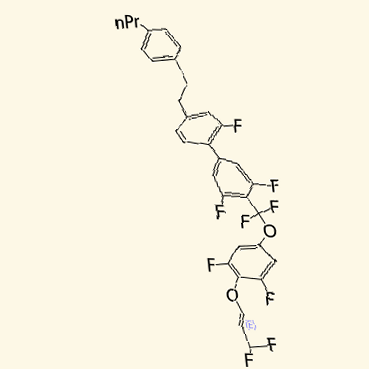 CCCc1ccc(CCc2ccc(-c3cc(F)c(C(F)(F)Oc4cc(F)c(O/C=C/C(F)F)c(F)c4)c(F)c3)c(F)c2)cc1